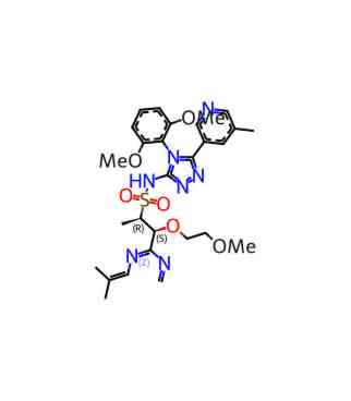 C=N/C(=N\C=C(C)C)[C@H](OCCOC)[C@@H](C)S(=O)(=O)Nc1nnc(-c2cncc(C)c2)n1-c1c(OC)cccc1OC